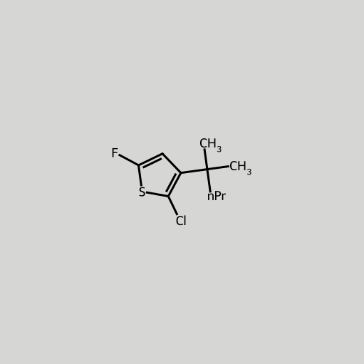 CCCC(C)(C)c1cc(F)sc1Cl